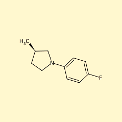 C[C@@H]1CCN(c2ccc(F)cc2)C1